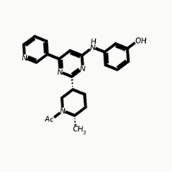 CC(=O)N1C[C@H](c2nc(Nc3cccc(O)c3)cc(-c3cccnc3)n2)CC[C@@H]1C